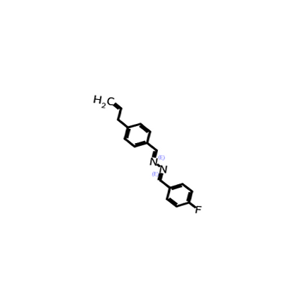 C=CCc1ccc(/C=N/N=C/c2ccc(F)cc2)cc1